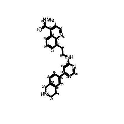 CNC(=O)c1ccnc2c(CCNc3cc(-c4ccc5c(c4)CCNC5)ncn3)cccc12